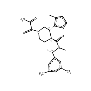 Cc1ccsc1[C@H]1CN(C(=O)C(N)=O)CC[C@@H]1C(=O)N(C)[C@@H](C)c1cc(C(F)(F)F)cc(C(F)(F)F)c1